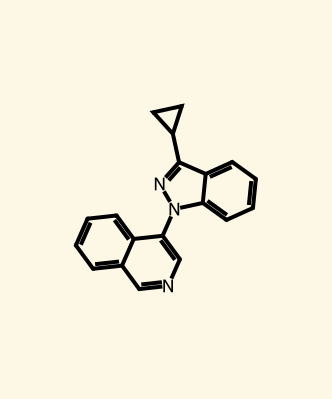 c1ccc2c(-n3nc(C4CC4)c4ccccc43)cncc2c1